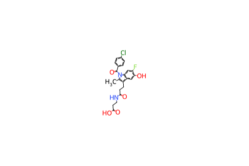 Cc1c(CCC(=O)NCCC(=O)O)c2cc(O)c(F)cc2n1C(=O)c1ccc(Cl)cc1